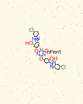 CCCCCOc1nc(Oc2ccc(-n3nc4ccc(Cl)cc4n3)c(O)c2)nc(Oc2ccc(-n3nc4ccc(Cl)cc4n3)c(O)c2)n1